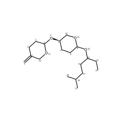 C=C1CCC(O[C@@H]2CCC(OC(CC)CCC(C)C)OC2)OC1